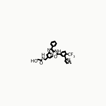 Cn1ccc(-c2cc(C(=O)Nc3c(-c4ccccc4)nc4cc(CNC(=O)CO)ccn34)ccc2C(F)(F)F)n1